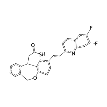 O=C(S)CC1c2ccccc2COc2ccc(/C=C/c3ccc4cc(F)c(F)cc4n3)cc21